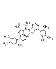 CC1=Cc2c(-c3cc(C)c(C)cc3C)cccc2[CH]1[Zr]([CH]1C(C)=Cc2c(-c3cc(C)c(C)cc3C)cccc21)[SiH](C)C